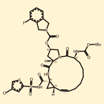 CC(C)(C)OC(=O)N[C@H]1CCCCC/C=C\[C@@H]2C[C@@]2(C(=O)NS(=O)(=O)c2cc(Cl)cs2)NC(=O)[C@@H]2C[C@@H](OC(=O)N3Cc4cccc(F)c4C3)CN2C1=O